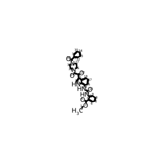 CCOC(=O)c1ccccc1NC(=O)Nc1cccc2c(C(=O)C(=O)N3CCN(C(=O)c4ccccc4)CC3)c[nH]c12